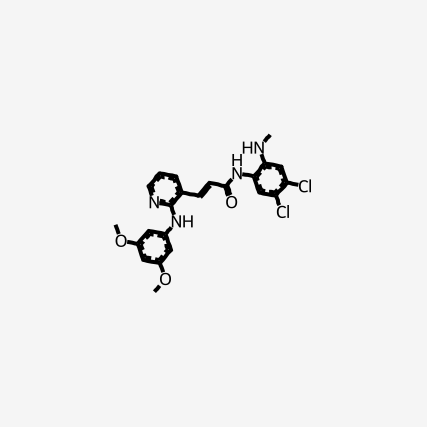 CNc1cc(Cl)c(Cl)cc1NC(=O)/C=C/c1cccnc1Nc1cc(OC)cc(OC)c1